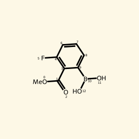 COC(=O)c1c(F)cccc1B(O)O